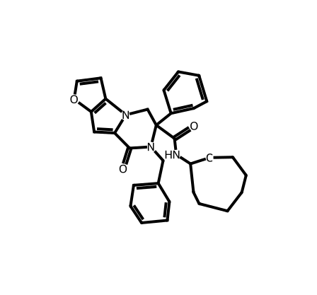 O=C1c2cc3occc3n2CC(C(=O)NC2CCCCCCC2)(c2ccccc2)N1Cc1ccccc1